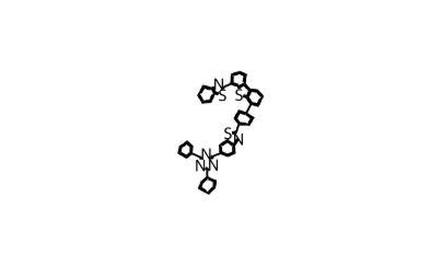 c1ccc(-c2nc(-c3ccccc3)nc(-c3ccc4nc(-c5ccc(-c6cccc7c6sc6c(-c8nc9ccccc9s8)cccc67)cc5)sc4c3)n2)cc1